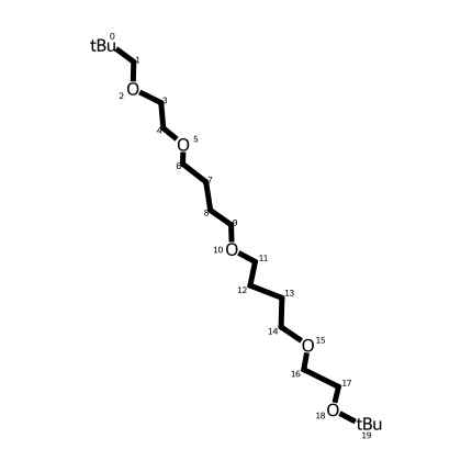 CC(C)(C)COCCOCCCCOCCCCOCCOC(C)(C)C